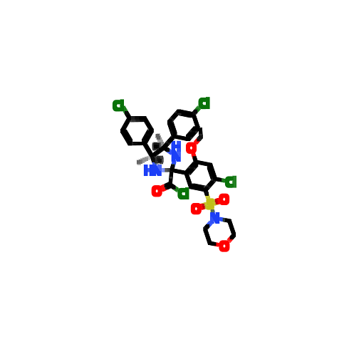 CCOc1cc(Cl)c(S(=O)(=O)N2CCOCC2)cc1C1(C(=O)Cl)N[C@@](C)(c2ccc(Cl)cc2)[C@@](C)(c2ccc(Cl)cc2)N1